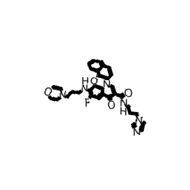 O=C(NCCCn1ccnc1)c1cn2c3c(c(NCCCN4CCOCC4)c(F)cc3c1=O)Oc1c-2ccc2ccccc12